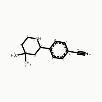 CC1(C)CCNC(c2ccc(C#N)cc2)C1